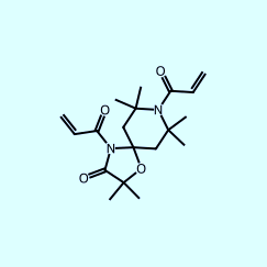 C=CC(=O)N1C(C)(C)CC2(CC1(C)C)OC(C)(C)C(=O)N2C(=O)C=C